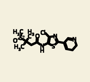 C[S+]([O-])C(C)(C)CC(=O)Nc1sc(C2=CCCN=C2)nc1Cl